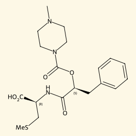 CSC[C@H](NC(=O)[C@H](Cc1ccccc1)OC(=O)N1CCN(C)CC1)C(=O)O